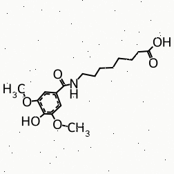 COc1cc(C(=O)NCCCCCCCC(=O)O)cc(OC)c1O